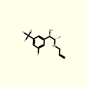 C=CCN[C@@H](C)[C@H](O)c1cc(F)cc(C(F)(F)F)c1